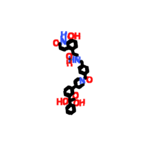 O=C(c1ccc(CNCC(O)c2ccc(O)c3[nH]c(=O)ccc23)cc1)N1CC=C(c2cccc(C(O)(C(=O)O)c3ccccc3)c2)CC1